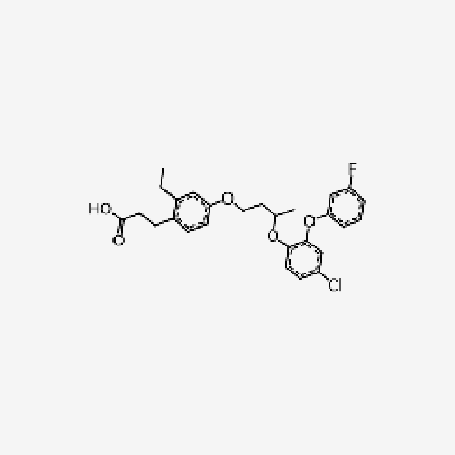 CCc1cc(OCCC(C)Oc2ccc(Cl)cc2Oc2cccc(F)c2)ccc1CCC(=O)O